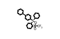 O=S(=O)(OS(c1ccccc1)(c1ccccc1)c1ccc(-c2ccccc2)cc1)C(F)(F)F